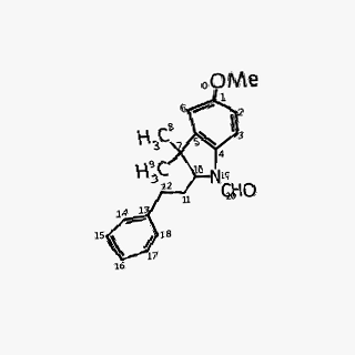 COc1ccc2c(c1)C(C)(C)C(CCc1ccccc1)N2C=O